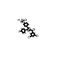 NS(=O)(=O)c1ccc(-c2sc(C(=O)c3cc(Cl)cc(Cl)c3)nc2-c2ccc(F)cc2)cc1